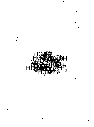 CC[C@H](CC[C@@H](O[C@@H]1O[C@H](CO)[C@@H](O)[C@H](O)[C@H]1O[C@@H]1O[C@H](CO)[C@@H](O)[C@H](O[C@@H]2O[C@H](CO)[C@@H](O)[C@H](O)[C@H]2O)[C@H]1O)C(C)(C)O)C1CC[C@@]2(C)C3CC=C4C(CC[C@H](O[C@@H]5O[C@H](CO)[C@@H](O)[C@H](O)[C@H]5O)C4(C)C)[C@]3(C)[C@H](O)C[C@]12C